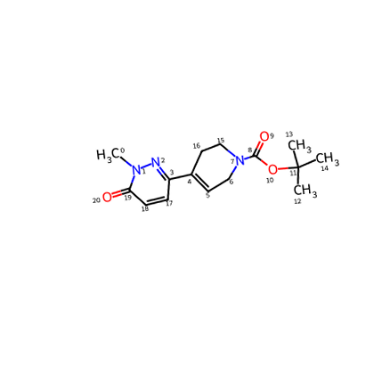 Cn1nc(C2=CCN(C(=O)OC(C)(C)C)CC2)ccc1=O